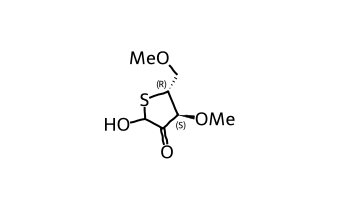 COC[C@H]1SC(O)C(=O)[C@@H]1OC